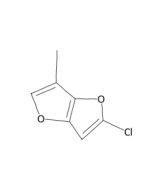 Cc1coc2cc(Cl)oc12